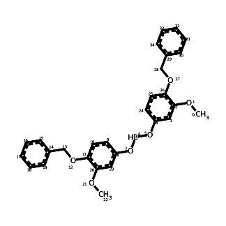 COc1cc(OBOc2ccc(OCc3ccccc3)c(OC)c2)ccc1OCc1ccccc1